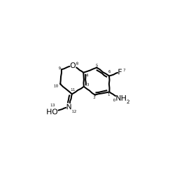 Nc1cc2c(cc1F)OCC/C2=N\O